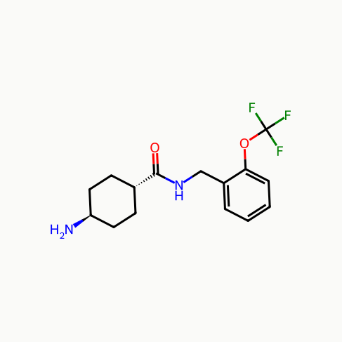 N[C@H]1CC[C@H](C(=O)NCc2ccccc2OC(F)(F)F)CC1